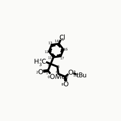 COC(=O)C(C)(CCC(=O)OC(C)(C)C)c1ccc(Cl)cc1